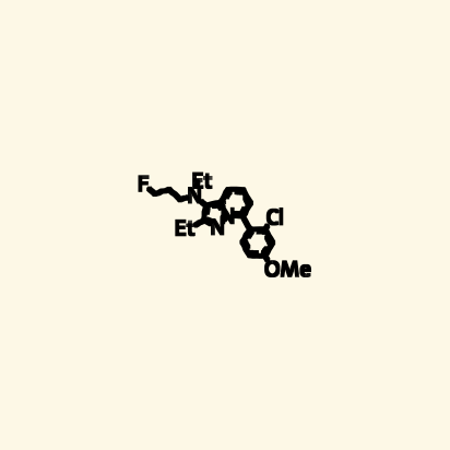 CCc1nn2c(-c3ccc(OC)cc3Cl)cccc2c1N(CC)CCCF